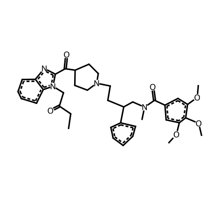 CCC(=O)Cn1c(C(=O)C2CCN(CCC(CN(C)C(=O)c3cc(OC)c(OC)c(OC)c3)c3ccccc3)CC2)nc2ccccc21